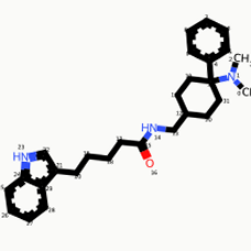 CN(C)C1(c2ccccc2)CCC(CNC(=O)CCCCc2c[nH]c3ccccc23)CC1